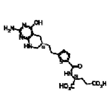 Nc1nc(O)c2c(n1)NC[C@@H](CCc1ccc(C(=O)N[C@@H](CCC(=O)O)C(=O)O)s1)C2